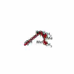 COc1cc2c(cc1OCCCCCOc1cc3c(cc1OC)C(=O)N1C=C(C)C[C@H]1[C@H](O)N3C(=O)OCc1ccc(NC(=O)[C@H](C)NC(=O)[C@@H](NC(=O)CCOCCOCCOCCOCCOCCOCCOCCOCCNC(=O)CCN3C(=O)CC(C4CCCCCC4)C3=O)C(C)C)cc1)N=C[C@@H]1CC(C)=CN1C2=O